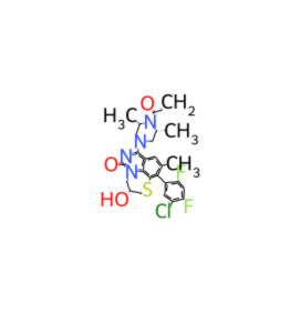 C=CC(=O)N1[C@H](C)CN(c2nc(=O)n3c4c(c(-c5cc(Cl)c(F)cc5F)c(C)cc24)SCC(O)C3)C[C@@H]1C